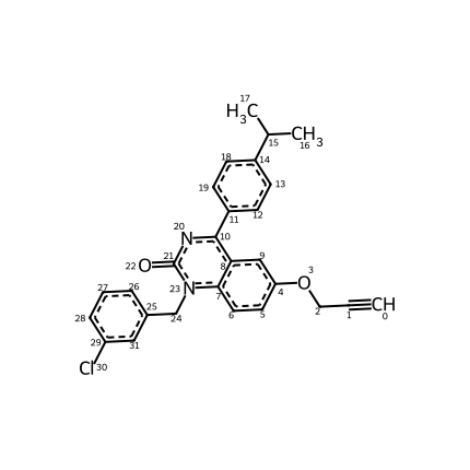 C#CCOc1ccc2c(c1)c(-c1ccc(C(C)C)cc1)nc(=O)n2Cc1cccc(Cl)c1